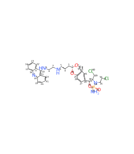 CCOC(CCCNCCNc1c2ccccc2nc2ccccc12)Oc1ccc(COP(N)(=O)N(CCCl)CCCl)cc1